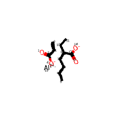 C=CC(=O)[O-].CCCCC(CC)C(=O)[O-].[Al+2]